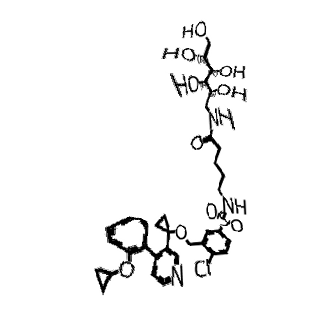 O=C(CCCCNS(=O)(=O)c1ccc(Cl)c(COC2(c3cnccc3-c3ccccc3OC3CC3)CC2)c1)NC[C@H](O)[C@@H](O)[C@H](O)[C@H](O)CO